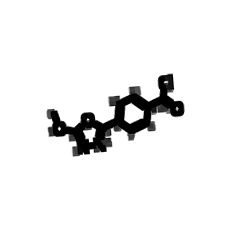 COc1nnc(-c2ccc(C(=O)Cl)cc2)o1